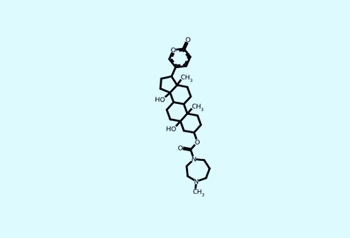 CN1CCCN(C(=O)OC2CCC3(C)C4CCC5(C)C(c6ccc(=O)oc6)CCC5(O)C4CCC3(O)C2)CC1